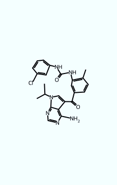 Cc1ccc(C(=O)c2cn(C(C)C)c3ncnc(N)c23)cc1NC(=O)Nc1cccc(Cl)c1